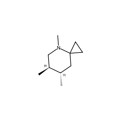 C[C@H]1CN(C)C2(CC2)C[C@@H]1C